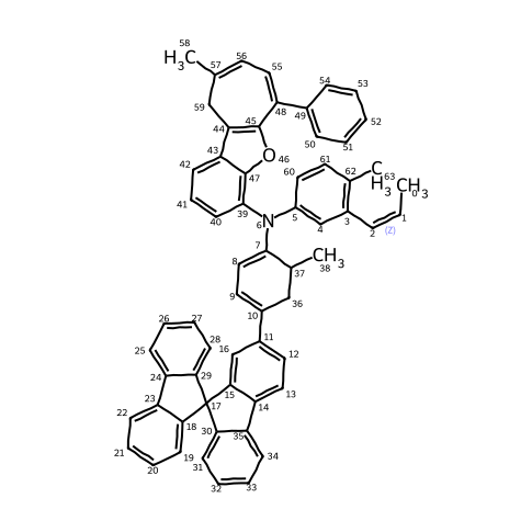 C/C=C\c1cc(N(C2=CC=C(c3ccc4c(c3)C3(c5ccccc5-c5ccccc53)c3ccccc3-4)CC2C)c2cccc3c4c(oc23)C(c2ccccc2)=CC=C(C)C4)ccc1C